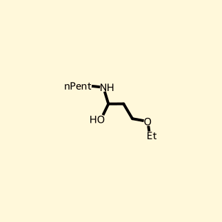 CCCCCNC(O)CCOCC